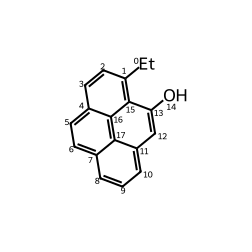 CCc1ccc2ccc3cccc4cc(O)c1c2c34